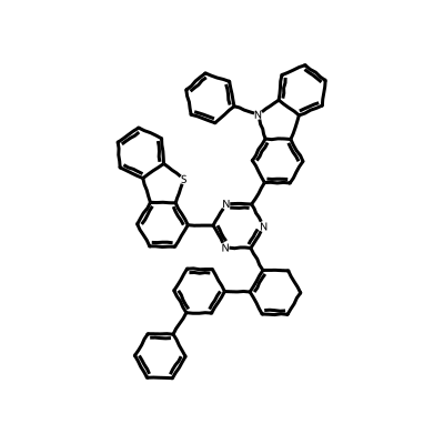 C1=CC(c2cccc(-c3ccccc3)c2)=C(c2nc(-c3ccc4c5ccccc5n(-c5ccccc5)c4c3)nc(-c3cccc4c3sc3ccccc34)n2)CC1